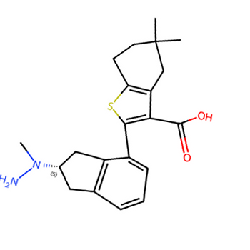 CN(N)[C@H]1Cc2cccc(-c3sc4c(c3C(=O)O)CC(C)(C)CC4)c2C1